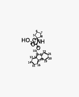 O=C(NC1(C(=O)O)CCCC1)OCC1c2ccccc2C2C=CC=CC21